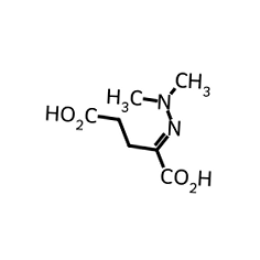 CN(C)/N=C(\CCC(=O)O)C(=O)O